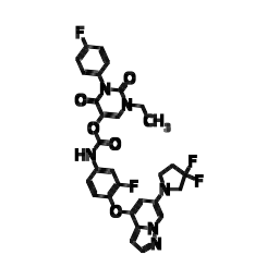 CCn1cc(OC(=O)Nc2ccc(Oc3cc(N4CCC(F)(F)C4)cn4nccc34)c(F)c2)c(=O)n(-c2ccc(F)cc2)c1=O